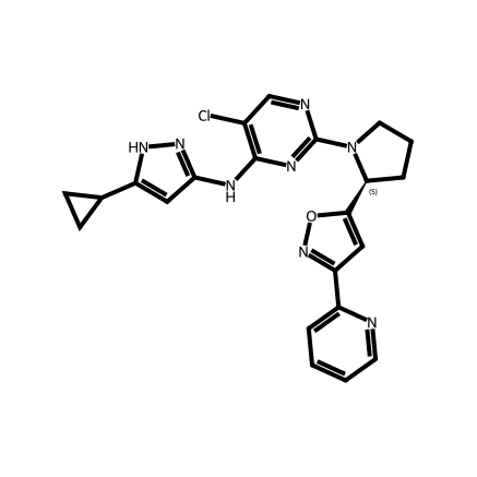 Clc1cnc(N2CCC[C@H]2c2cc(-c3ccccn3)no2)nc1Nc1cc(C2CC2)[nH]n1